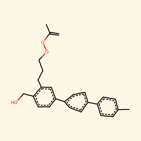 C=C(C)OOCCCc1cc(-c2ccc(-c3ccc(C)cc3)cc2)ccc1CO